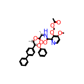 COc1ccnc(C(=O)N[C@@H](C)C(=O)O[C@@H](C)[C@H](Oc2ccccc2)c2ccc(-c3ccccc3)cc2)c1OCOC(C)=O